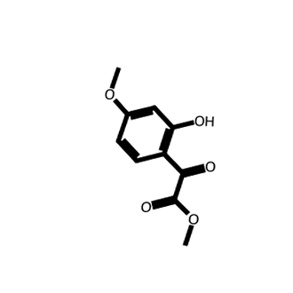 COC(=O)C(=O)c1ccc(OC)cc1O